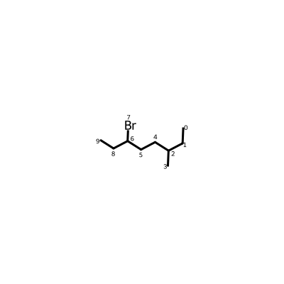 CCC(C)CCC(Br)CC